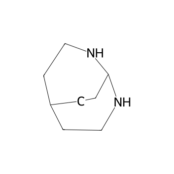 C1CC2CCNC(CC2)N1